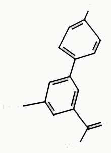 COC(=O)c1cc(C(=O)O)cc(-c2ccc(F)cc2)c1